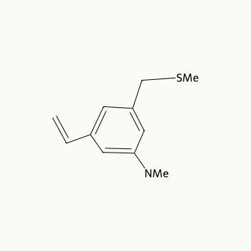 C=Cc1cc(CSC)cc(NC)c1